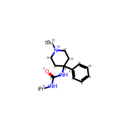 CC(C)NC(=O)NC1(c2ccccc2)CCN(C(C)(C)C)CC1